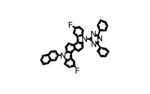 Fc1ccc2c(c1)c1c3ccc4c(c3ccc1n2-c1ccc2ccccc2c1)c1cc(F)ccc1n4-c1nc(-c2ccccc2)nc(-c2ccccc2)n1